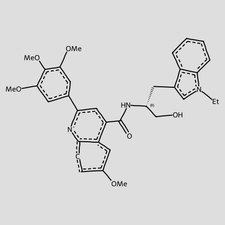 CCn1cc(C[C@H](CO)NC(=O)c2cc(-c3cc(OC)c(OC)c(OC)c3)nc3ccc(OC)cc23)c2ccccc21